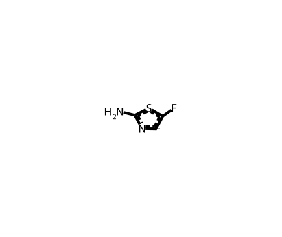 Nc1n[c]c(F)s1